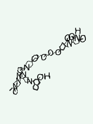 C=CC(=O)N1CCN(c2nc(O[C@H](C)CN3CCC(OCCOCCOCCOc4ccc5c(c4)CN(C4CCC(=O)NC4=O)C5=O)CC3)nc3c2CCN(c2cc(O)cc4ccccc24)C3)CC1